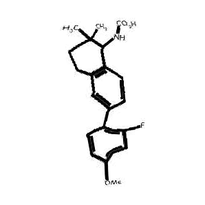 COc1ccc(-c2ccc3c(c2)CCC(C)(C)C3NC(=O)O)c(F)c1